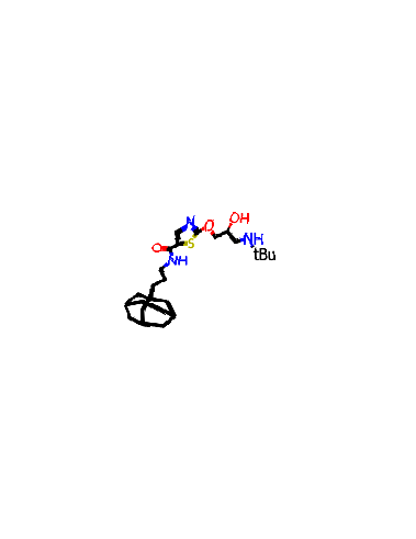 CC(C)(C)NCC(O)COc1ncc(C(=O)NCCCC23CC4CC(CC(C4)C2)C3)s1